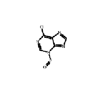 O=Pn1cnc(Cl)c2ncnc1-2